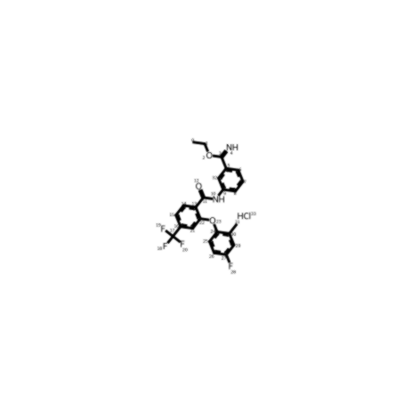 CCOC(=N)c1cccc(NC(=O)c2ccc(C(F)(F)F)cc2Oc2ccc(F)cc2C)c1.Cl